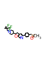 C[S+]([O-])Cc1ccc(-c2cc3c(cn2)OC(C2CCN(CC4(C(F)(F)F)CC4)CC2)C3)cc1